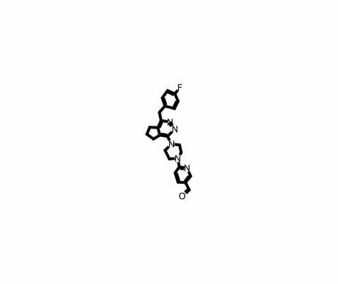 O=Cc1ccc(N2CCN(c3nnc(Cc4ccc(F)cc4)c4c3CCC4)CC2)nc1